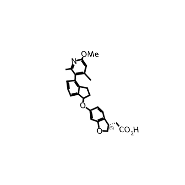 COc1cc(C)c(-c2cccc3c2CCC3Oc2ccc3c(c2)OC[C@H]3CC(=O)O)c(C)n1